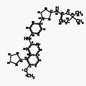 COc1ccc2cnc(Nc3ccc(N4CCC(NC(=O)OC(C)(C)C)C4)cc3)nc2c1C1CCCC1